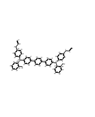 C=CCc1ccc(N(c2ccc(-c3ccc(-c4ccc(N(c5ccc(CC=C)cc5)c5ccccc5C)cc4)cc3)cc2)c2ccccc2C)cc1